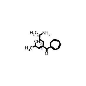 CC(C)/C=C(\CC[C@H](C)N)C(=O)C1=CC=CC=CC1